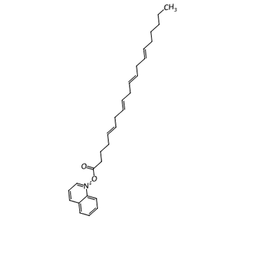 CCCCCC=CCC=CCC=CCC=CCCCC(=O)O[n+]1cccc2ccccc21